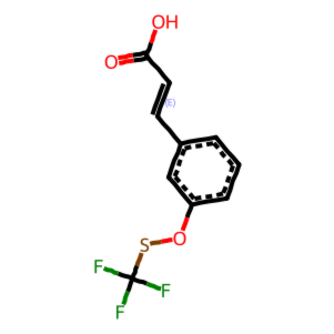 O=C(O)/C=C/c1cccc(OSC(F)(F)F)c1